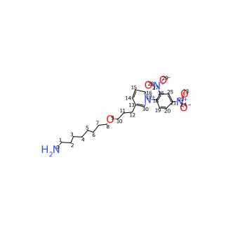 NCCCCCCCCOCCCc1ccc[n+](-c2ccc([N+](=O)[O-])cc2[N+](=O)[O-])c1